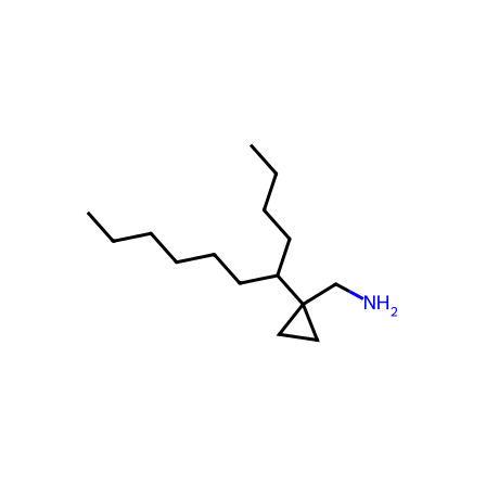 CCCCCCC(CCCC)C1(CN)CC1